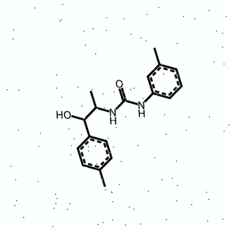 Cc1ccc(C(O)C(C)NC(=O)Nc2cccc(C)c2)cc1